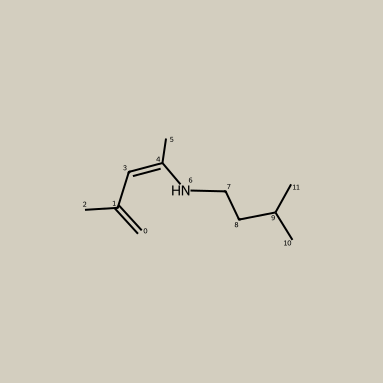 C=C(C)/C=C(/C)NCCC(C)C